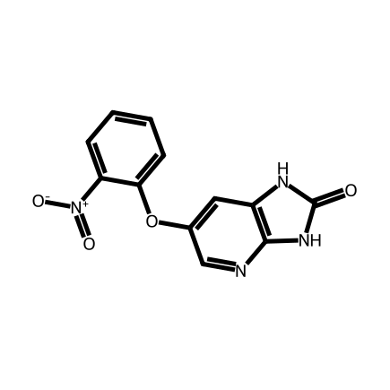 O=c1[nH]c2cc(Oc3ccccc3[N+](=O)[O-])cnc2[nH]1